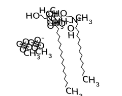 CCCCCCCCCCCCCC(O)C[N+](C)(CCO)CCO.CCCCCCCCCCCCCCCCCC(=O)NC(CC)[N+](C)(C)CCO.COS(=O)(=O)[O-].COS(=O)(=O)[O-]